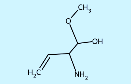 C=CC(N)C(O)OC